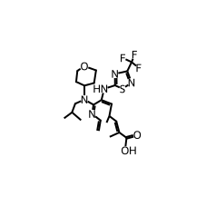 C=C/N=C(\C(=C/C(C)/C=C(\C)C(=O)O)Nc1nc(C(F)(F)F)ns1)N(CC(C)C)C1CCOCC1